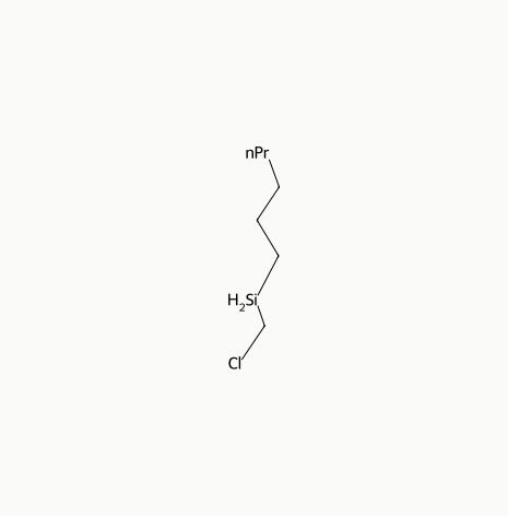 CCCCCC[SiH2]CCl